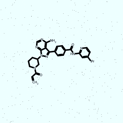 C=CC(=O)N1CCCC(n2nc(-c3ccc(C(=O)Nc4cc(C(C)C)ccn4)cc3)c3c(N)ncnc32)C1